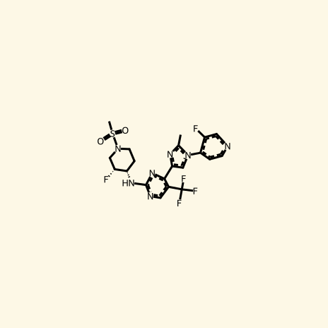 Cc1nc(-c2nc(N[C@H]3CCN(S(C)(=O)=O)C[C@H]3F)ncc2C(F)(F)F)cn1-c1ccncc1F